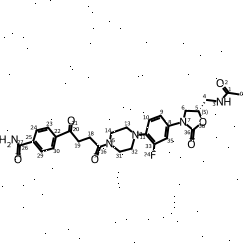 CC(=O)NC[C@H]1CN(c2ccc(N3CCN(C(=O)CCC(=O)c4ccc(C(N)=O)cc4)CC3)c(F)c2)C(=O)O1